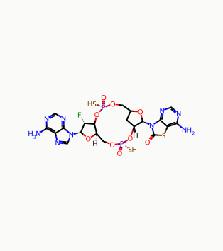 Nc1ncnc2c1ncn2[C@@H]1O[C@@H]2CO[P@@](=O)(S)O[C@@H]3CC(CO[P@](=O)(S)OC2[C@H]1F)O[C@H]3n1c(=O)sc2c(N)ncnc21